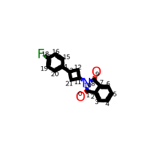 O=C1c2ccccc2C(=O)N1C1CC(c2ccc(F)cc2)C1